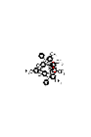 FC(F)(F)c1cc2c3c(c1)Oc1cc4c(cc1B3c1cc3c(cc1O2)N(c1ccccc1)c1cc(C(F)(F)F)cc2c1B3c1sc3ccc(C(F)(F)F)cc3c1O2)B1c2sc3ccc(C(F)(F)F)cc3c2Oc2cc(C(F)(F)F)cc(c21)N4c1ccccc1